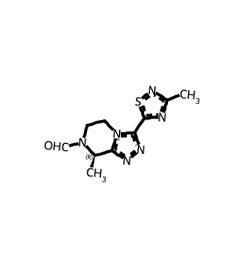 Cc1nsc(-c2nnc3n2CCN(C=O)[C@@H]3C)n1